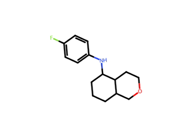 Fc1ccc(NC2CCCC3COCCC32)cc1